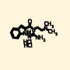 CN(C)CCN(C(=N)N)C(=O)c1cc2ccccc2[nH]1.Cl.Cl